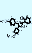 COc1ccc(-c2nc(-c3ccccc3Cl)[nH]c2-c2ccc(OC)cc2)cc1